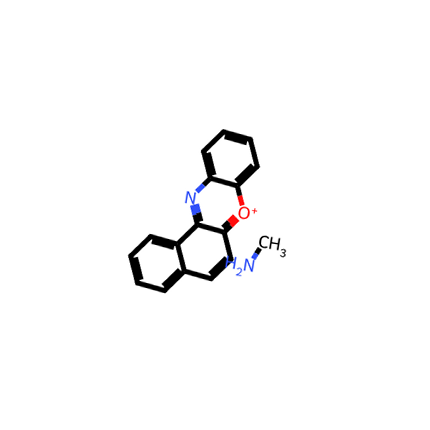 CN.c1ccc2c(c1)ccc1[o+]c3ccccc3nc12